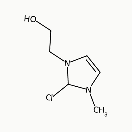 CN1C=CN(CCO)C1Cl